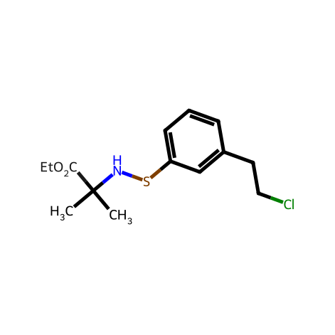 CCOC(=O)C(C)(C)NSc1cccc(CCCl)c1